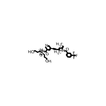 C/C=C(\C=C(/C)C#Cc1cncc(C(=O)N[SH](=O)(CCCO)CCCO)c1)NC(=O)c1cccc(C(F)(F)F)c1